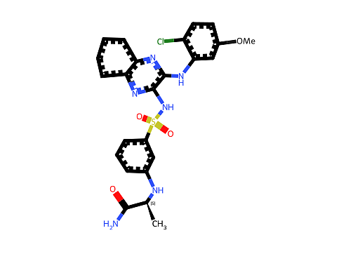 COc1ccc(Cl)c(Nc2nc3ccccc3nc2NS(=O)(=O)c2cccc(N[C@@H](C)C(N)=O)c2)c1